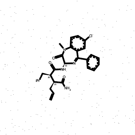 C=CC[C@H](C(N)=O)[C@@H](CC(C)C)C(=O)N[C@H]1N=C(c2ccccc2)c2cc(Cl)ccc2N(C)C1=O